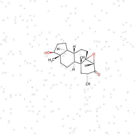 C[C@]12CC[C@H]3[C@@H](CC[C@@]45O[C@@H]4C(=O)[C@H](C#N)C[C@]35C)[C@@H]1CC[C@@H]2O